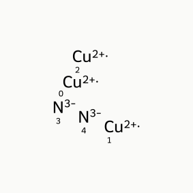 [Cu+2].[Cu+2].[Cu+2].[N-3].[N-3]